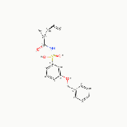 C=C[C@@H]1C[C@@H]1C(=O)NS(=O)(=O)c1cccc(OCc2ccccc2)c1